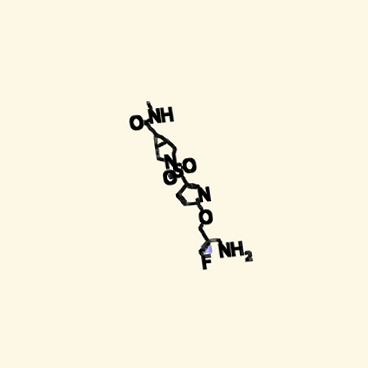 CNC(=O)C1C2CN(S(=O)(=O)c3ccc(OC/C(=C/F)CN)nc3)CC21